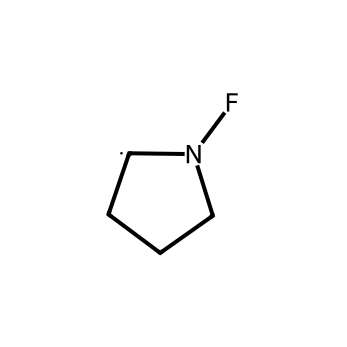 FN1[CH]CCC1